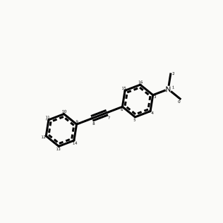 CN(C)c1ccc(C#Cc2c[c]ccc2)cc1